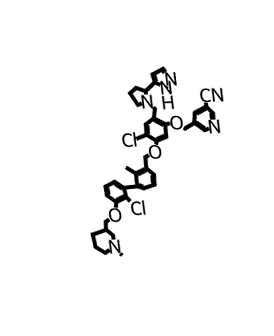 Cc1c(COc2cc(OCc3cncc(C#N)c3)c(CN3CCCC3c3ccn[nH]3)cc2Cl)cccc1-c1cccc(OCC2CCCN(C)C2)c1Cl